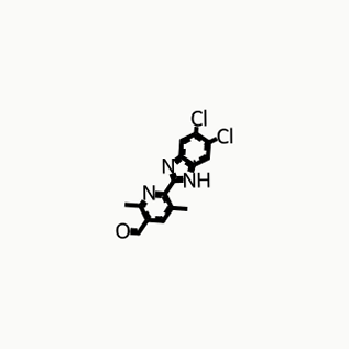 Cc1cc(C=O)c(C)nc1-c1nc2cc(Cl)c(Cl)cc2[nH]1